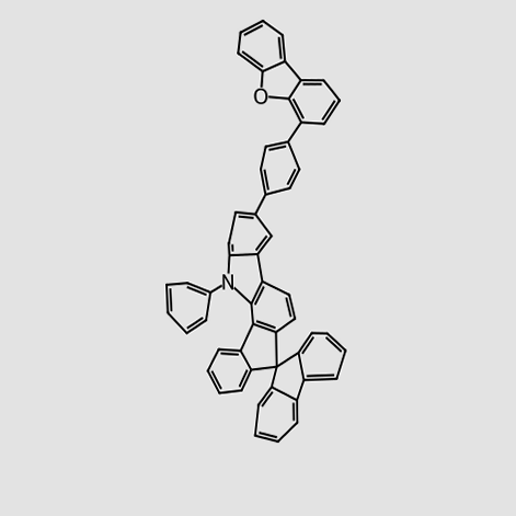 c1ccc(-n2c3ccc(-c4ccc(-c5cccc6c5oc5ccccc56)cc4)cc3c3ccc4c(c32)-c2ccccc2C42c3ccccc3-c3ccccc32)cc1